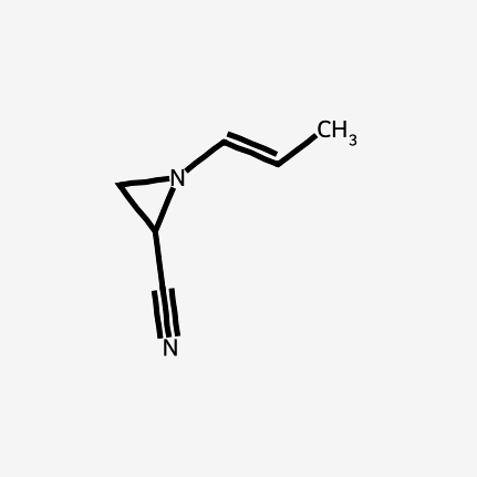 CC=CN1CC1C#N